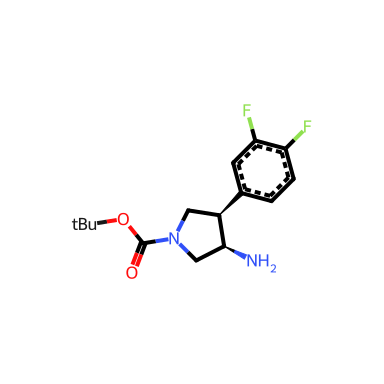 CC(C)(C)OC(=O)N1C[C@H](N)[C@H](c2ccc(F)c(F)c2)C1